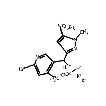 CCOC(=O)c1cc(C(C)c2cnc(Cl)cc2C)nn1C.O=C([O-])[O-].[K+].[K+]